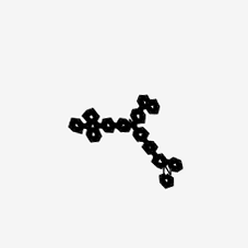 c1ccc(-c2c3ccccc3c(-c3ccc(-c4ccc(N(c5ccc(-c6ccc(-c7ccc8c(c7)c7ccccc7n8-c7ccccc7)cc6)cc5)c5ccc(-c6cccc7ccccc67)cc5)cc4)cc3)c3ccccc23)cc1